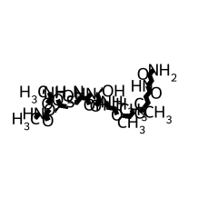 CNC(=O)OC[C@H](C[S+]([O-])C[C@H](N)C(O)N[C@@H](CO)C(=O)NCCOC(C)(C)CCOC(C)(C)CCC(=O)NCC(N)=O)OC(=O)NC